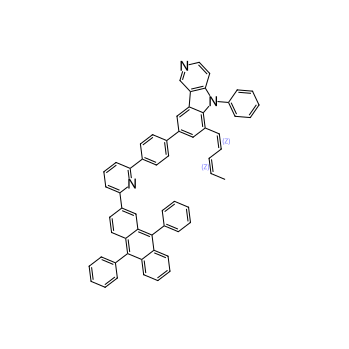 C/C=C\C=C/c1cc(-c2ccc(-c3cccc(-c4ccc5c(-c6ccccc6)c6ccccc6c(-c6ccccc6)c5c4)n3)cc2)cc2c3cnccc3n(-c3ccccc3)c12